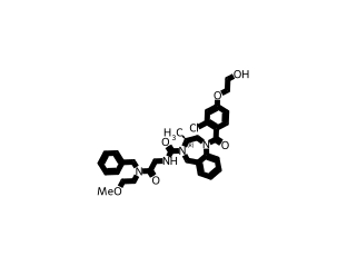 COCCN(Cc1ccccc1)C(=O)CNC(=O)N1Cc2ccccc2N(C(=O)c2ccc(OCCO)cc2Cl)C[C@H]1C